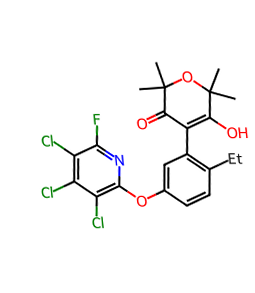 CCc1ccc(Oc2nc(F)c(Cl)c(Cl)c2Cl)cc1C1=C(O)C(C)(C)OC(C)(C)C1=O